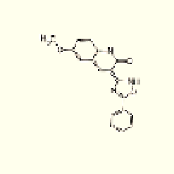 COc1ccc2c(c1)=C/C(=C1\N=C(c3ccccc3)ON1)C(=O)N=2